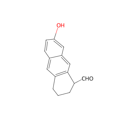 O=CC1CCCc2cc3ccc(O)cc3cc21